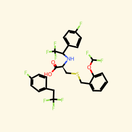 Fc1ccc(CC(F)(F)F)cc1.O=C(O)[C@H](CSCc1ccccc1OC(F)F)NC(c1ccc(F)cc1)C(F)(F)F